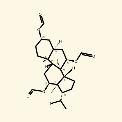 CC(I)[C@H]1CC[C@H]2[C@@H]3[C@H](OC=O)C[C@@H]4C[C@H](OC=O)CC[C@]4(C)[C@H]3C[C@H](OC=O)[C@]12C